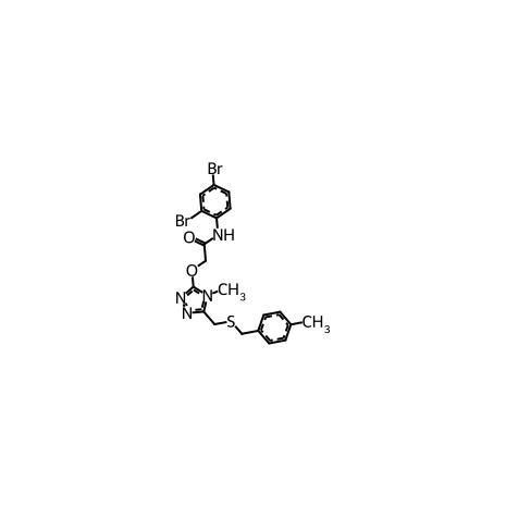 Cc1ccc(CSCc2nnc(OCC(=O)Nc3ccc(Br)cc3Br)n2C)cc1